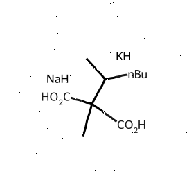 CCCCC(C)C(C)(C(=O)O)C(=O)O.[KH].[NaH]